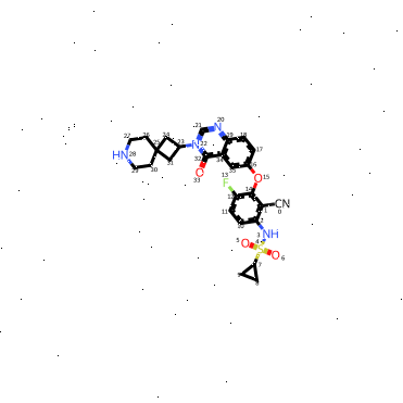 N#Cc1c(NS(=O)(=O)C2CC2)ccc(F)c1Oc1ccc2ncn(C3CC4(CCNCC4)C3)c(=O)c2c1